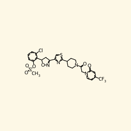 CS(=O)(=O)Oc1cccc(Cl)c1C1CC(c2csc(C3CCN(C(=O)Cn4ccc(C(F)(F)F)cc4=O)CC3)n2)=NO1